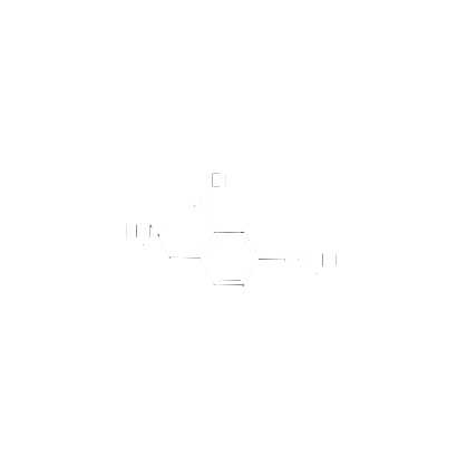 CCOC(=O)c1ccc(CN)c(OCC)c1